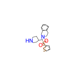 O=S(=O)(c1cccs1)C(C1CCNCC1)N1CCc2ccccc2C1